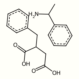 CC(N)c1ccccc1.O=C(O)CC(Cc1ccccc1)C(=O)O